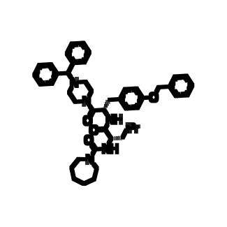 CC(C)C[C@H](NC(=O)N1CCCCCC1)C(=O)N[C@@H](Cc1ccc(OCc2ccccc2)cc1)C(=O)N1CCN(C(c2ccccc2)c2ccccc2)CC1